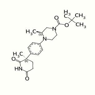 C[C@H]1CN(C(=O)OC(C)(C)C)CCN1c1ccc([C@@]2(C)CCC(=O)NC2=O)cc1